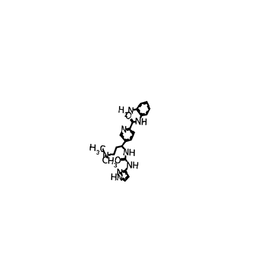 CN(C)CCC(NC(=O)Nc1cc[nH]n1)c1ccc(C(=O)Nc2ccccc2N)nc1